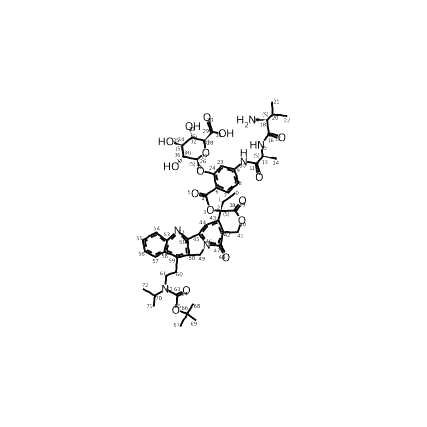 CC[C@@]1(OC(=O)c2ccc(NC(=O)[C@H](C)NC(=O)[C@@H](N)C(C)C)cc2O[C@@H]2O[C@H](C(=O)O)[C@@H](O)[C@H](O)[C@H]2O)C(=O)OCc2c1cc1n(c2=O)Cc2c-1nc1ccccc1c2CCN(C(=O)OC(C)(C)C)C(C)C